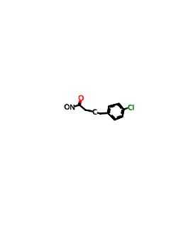 O=NC(=O)CCCc1ccc(Cl)cc1